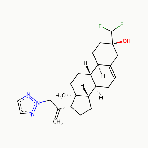 C=C(Cn1nccn1)[C@H]1CC[C@H]2[C@@H]3CC=C4C[C@@](O)(C(F)F)CC[C@@H]4[C@H]3CC[C@]12C